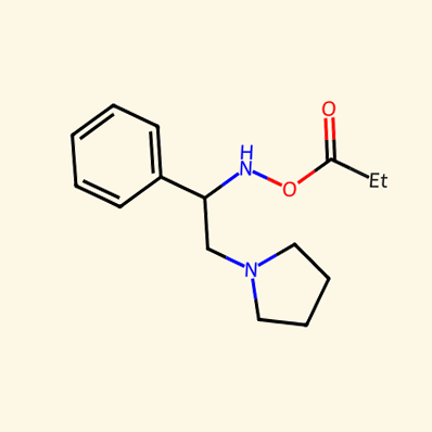 CCC(=O)ONC(CN1CCCC1)c1ccccc1